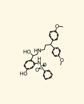 COc1ccc(C(CCNCC(O)c2ccc(O)cc2NS(=O)(=O)c2ccccc2)c2ccc(OC)cc2)cc1